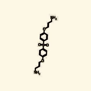 NCC=COc1ccc(S(=O)(=O)c2ccc(OC=CCN)cc2)cc1